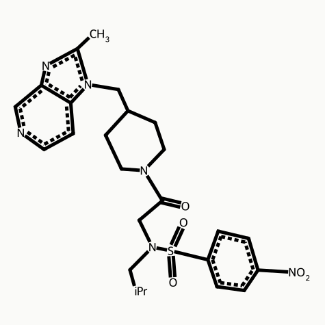 Cc1nc2cnccc2n1CC1CCN(C(=O)CN(CC(C)C)S(=O)(=O)c2ccc([N+](=O)[O-])cc2)CC1